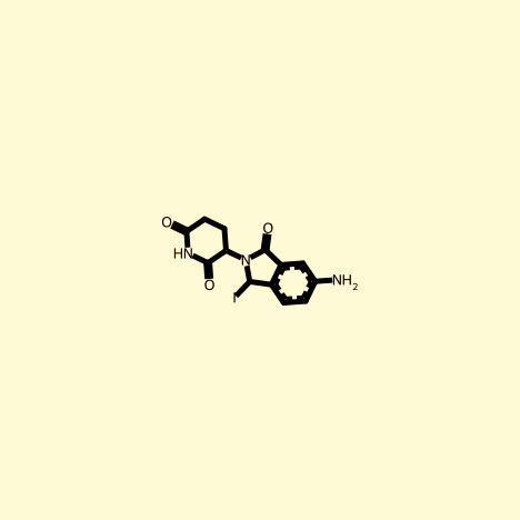 Nc1ccc2c(c1)C(=O)N(C1CCC(=O)NC1=O)C2I